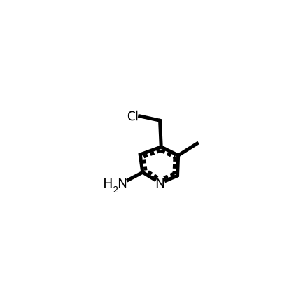 Cc1cnc(N)cc1CCl